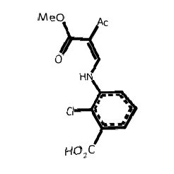 COC(=O)C(=CNc1cccc(C(=O)O)c1Cl)C(C)=O